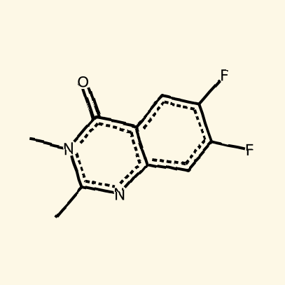 Cc1nc2cc(F)c(F)cc2c(=O)n1C